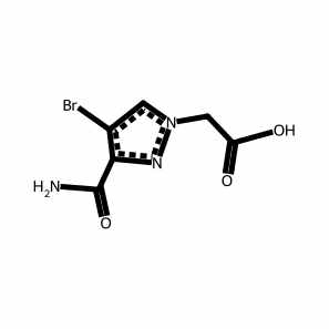 NC(=O)c1nn(CC(=O)O)cc1Br